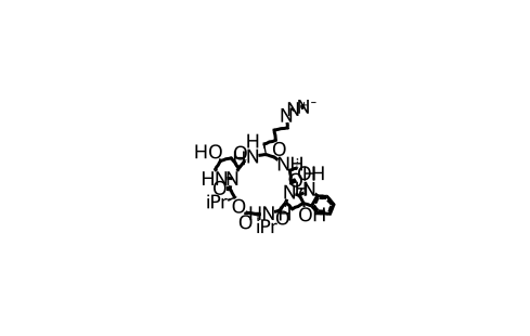 CC(C)[C@@H]1OC(=O)[C@@H](C(C)C)NC(=O)[C@@H]2C[C@@]3(O)c4ccccc4N[C@H]3N2C(=O)[C@@H]([C@H](C)O)NC(=O)[C@H](CCCCN=[N+]=[N-])NC(=O)[C@H]2C[C@@H](O)CNN2C1=O